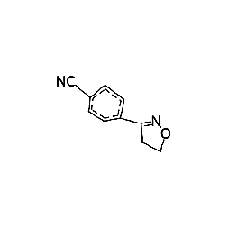 N#Cc1ccc(C2=NOCC2)cc1